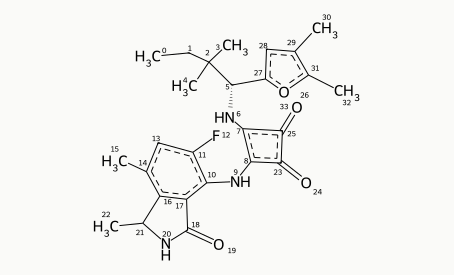 CCC(C)(C)[C@@H](Nc1c(Nc2c(F)cc(C)c3c2C(=O)NC3C)c(=O)c1=O)c1cc(C)c(C)o1